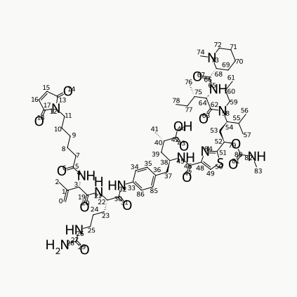 C=C(C)[C@H](NC(=O)CCCCCN1C(=O)C=CC1=O)C(=O)N[C@@H](CCCNC(N)=O)C(=O)Nc1ccc(C[C@@H](C[C@H](C)C(=O)O)NC(=O)c2csc([C@@H](C[C@H](C(C)C)N(CCC)C(=O)[C@@H](NC(=O)[C@H]3CCCCN3C)[C@@H](C)CC)OC(=O)NC)n2)cc1